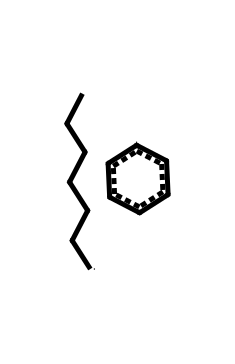 [CH2]CCCCCC.[c]1ccccc1